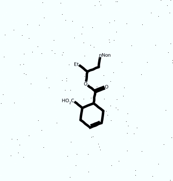 CCCCCCCCCCC(CC)OC(=O)C1CC=CCC1C(=O)O